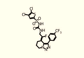 O=C(NCC(F)=C1CCCn2nnc(-c3ccc(C(F)(F)F)cc3)c21)NS(=O)(=O)c1cc(Cl)c(Cl)s1